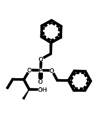 CCC(OP(=O)(OCc1ccccc1)OCc1ccccc1)[C@H](C)O